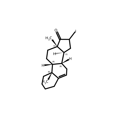 C[C@]12CCCCC1=CC[C@@H]1[C@H]2CC[C@]2(C)C(=O)C(I)C[C@@H]12